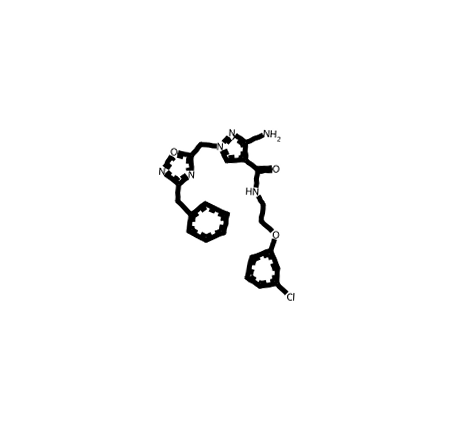 Nc1nn(Cc2nc(Cc3ccccc3)no2)cc1C(=O)NCCOc1cccc(Cl)c1